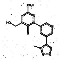 Cn1nncc1-c1cncc(-n2nc(C(=O)O)cc(CO)c2=O)c1